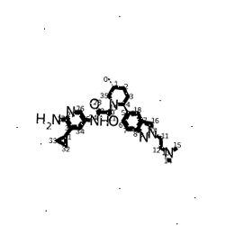 C[C@@H]1CC[C@@H](c2ccc3nn(CCN(C)C)cc3c2)N(C(=O)C(=O)Nc2cnc(N)c(C3CC3)c2)C1